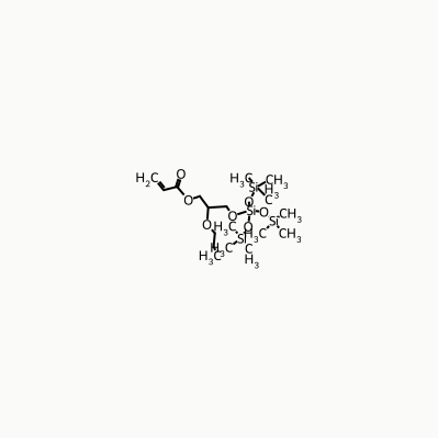 C=CC(=O)OCC(CO[Si](O[Si](C)(C)C)(O[Si](C)(C)C)O[Si](C)(C)C)OCCC